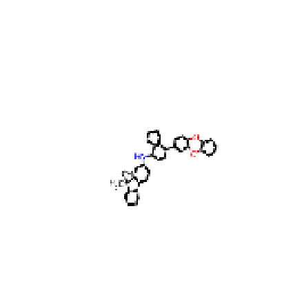 CC1(C)c2ccccc2-c2ccc(Nc3ccc(-c4ccc5c(c4)Oc4ccccc4O5)c4ccccc34)cc21